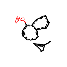 CC1=CC1.Oc1cccc2ccccc12